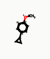 COc1ccc([C]2CC2)cc1